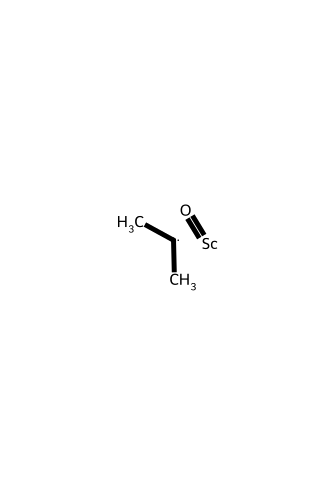 C[CH]C.[O]=[Sc]